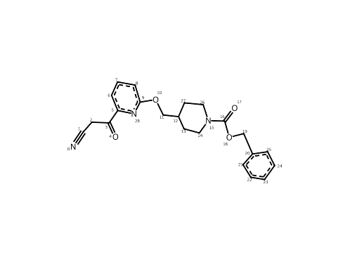 N#CCC(=O)c1cccc(OCC2CCN(C(=O)OCc3ccccc3)CC2)n1